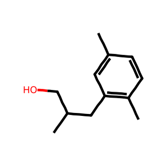 Cc1ccc(C)c(CC(C)CO)c1